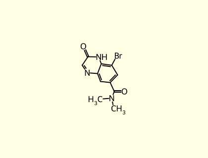 CN(C)C(=O)c1cc(Br)c2[nH]c(=O)cnc2c1